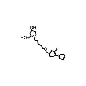 OCC1CC(O)CCN1CCCCCOCc1ccc(-c2ccccc2)c(F)c1